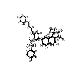 Cc1ccc(S(=O)(=O)N(C)c2cc(-c3ccc4ncc5c(c4c3)C3(CCC3)C(=O)N5C)cnc2OCCCN2CCCCC2)cn1